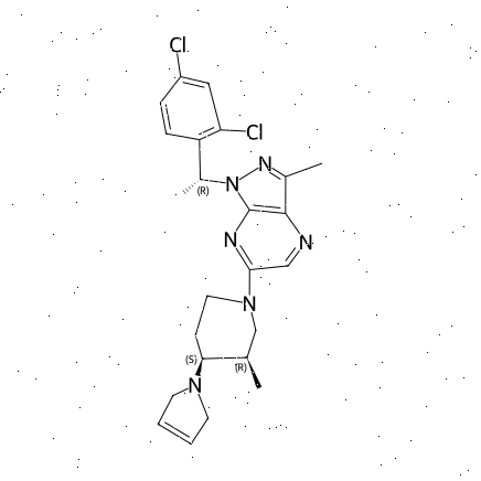 Cc1nn([C@H](C)c2ccc(Cl)cc2Cl)c2nc(N3CC[C@H](N4CC=CC4)[C@H](C)C3)cnc12